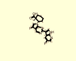 C[C@@]1(C(=O)O)CCCC[C@H]1n1cc(F)c2cnc(-c3c[nH]c4ncc(F)cc34)nc21